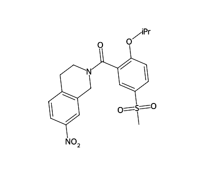 CC(C)Oc1ccc(S(C)(=O)=O)cc1C(=O)N1CCc2ccc([N+](=O)[O-])cc2C1